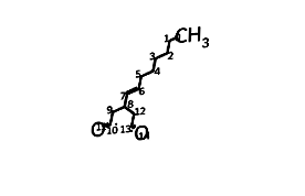 CCCCCC/C=C/C(C[C]=O)C[C]=O